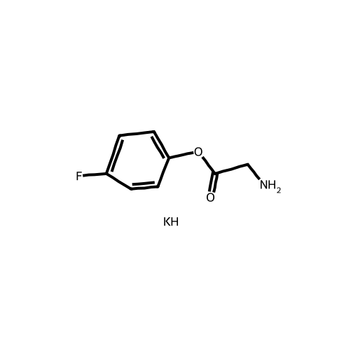 NCC(=O)Oc1ccc(F)cc1.[KH]